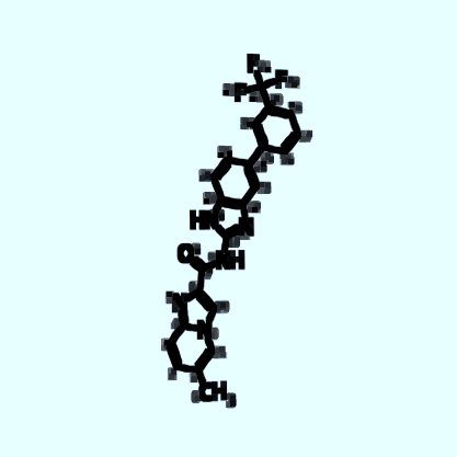 Cc1ccc2nc(C(=O)Nc3nc4cc(-c5cccc(C(F)(F)F)c5)ccc4[nH]3)cn2c1